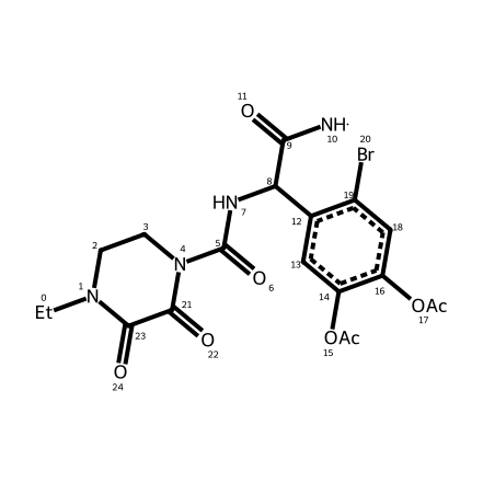 CCN1CCN(C(=O)NC(C([NH])=O)c2cc(OC(C)=O)c(OC(C)=O)cc2Br)C(=O)C1=O